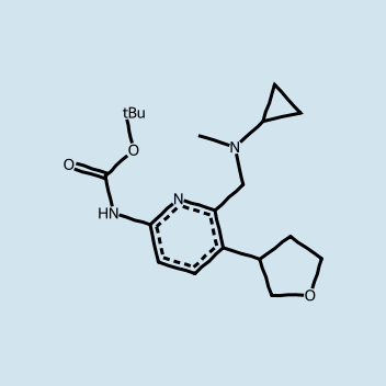 CN(Cc1nc(NC(=O)OC(C)(C)C)ccc1C1CCOC1)C1CC1